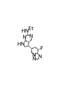 CCNc1ncc2c(-c3cc(F)c4ncnn4c3)c[nH]c2n1